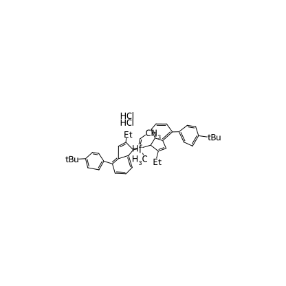 C[CH]=[Hf]([CH3])([CH]1C(CC)=Cc2c(-c3ccc(C(C)(C)C)cc3)cccc21)[CH]1C(CC)=Cc2c(-c3ccc(C(C)(C)C)cc3)cccc21.Cl.Cl